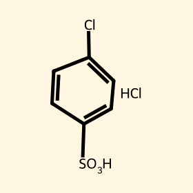 Cl.O=S(=O)(O)c1ccc(Cl)cc1